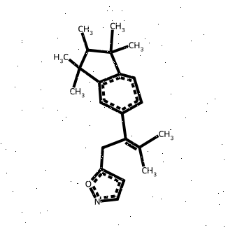 CC(C)=C(Cc1ccno1)c1ccc2c(c1)C(C)(C)C(C)C2(C)C